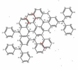 c1ccc(-c2c3c(c(-c4ccccc4)c4c2B2c5ccccc5N(c5ccccc5)c5cc(N(c6ccccc6)c6ccccc6)cc(c52)N4c2ccccc2)Sc2cc(N(c4ccccc4)c4ccccc4)cc4c2B3c2ccccc2S4)cc1